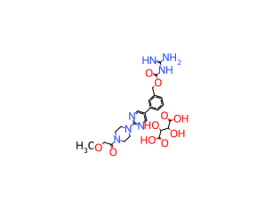 COCC(=O)N1CCN(c2ncc(-c3cccc(COC(=O)NC(=N)N)c3)cn2)CC1.O=C(O)C(O)C(O)C(=O)O